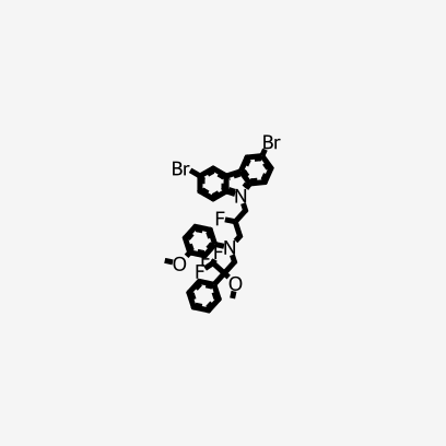 COc1cccc(N(CC(F)Cn2c3ccc(Br)cc3c3cc(Br)ccc32)CC(OC)(c2ccccc2)C(F)(F)F)c1